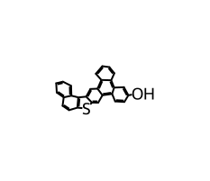 Oc1ccc2c(c1)c1ccccc1c1cc3c(cc21)sc1ccc2ccccc2c13